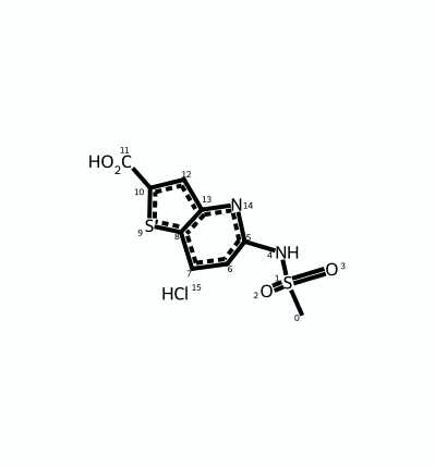 CS(=O)(=O)Nc1ccc2sc(C(=O)O)cc2n1.Cl